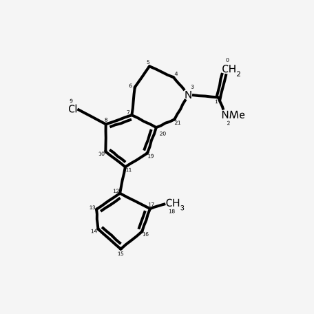 C=C(NC)N1CCCc2c(Cl)cc(-c3ccccc3C)cc2C1